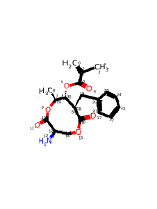 C=C(C)C(=O)O[C@H]1[C@H](C)OC(=O)C(N)COC(=O)[C@@H]1Cc1ccccc1